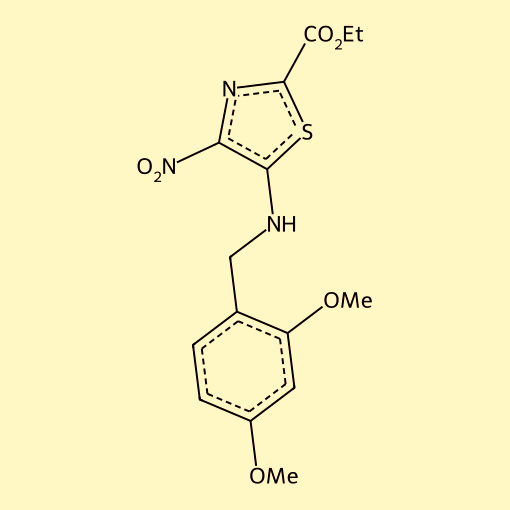 CCOC(=O)c1nc([N+](=O)[O-])c(NCc2ccc(OC)cc2OC)s1